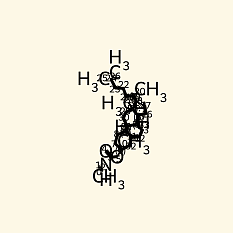 CCNC(=O)O[C@H]1CC[C@@]2(C)C(=CC[C@H]3[C@@H]4CC[C@H]([C@H](C)CCCC(C)C)[C@@]4(C)CC[C@@H]32)C1